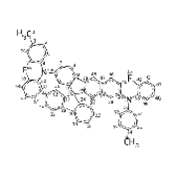 Cc1ccc(N(c2ccc3c(c2)C2(c4ccccc4-c4ccccc42)c2cc4cc(N(c5ccc(C)cc5)c5ccccc5F)ccc4cc2-3)c2ccccc2F)cc1